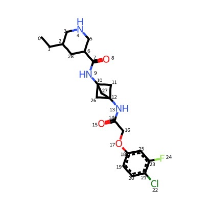 CCC1CNCC(C(=O)NC23CC(NC(=O)COc4ccc(Cl)c(F)c4)(C2)C3)C1